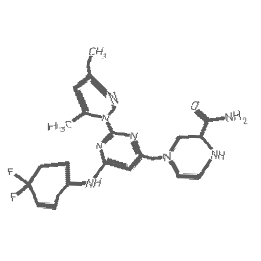 Cc1cc(C)n(-c2nc(NC3CCC(F)(F)CC3)cc(N3CCNC(C(N)=O)C3)n2)n1